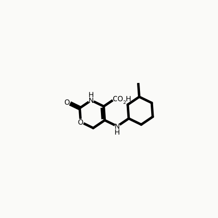 CC1CCCC(NC2=C(C(=O)O)NC(=O)OC2)C1